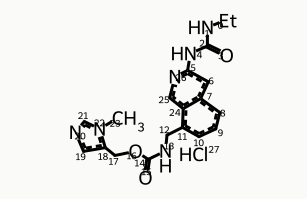 CCNC(=O)Nc1cc2cccc(CNC(=O)OCc3cncn3C)c2cn1.Cl